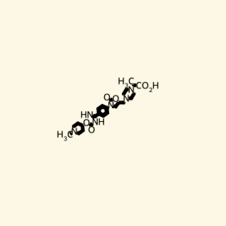 CC(C(=O)O)N1CCN(CC2CN(c3ccc(C(=N)NC(=O)OC4CCN(C)CC4)cc3)C(=O)O2)CC1